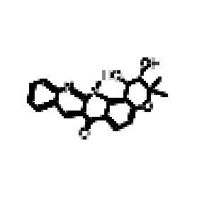 Cn1c2nc3ccccc3cc2c(=O)c2ccc3c(c21)[C@@H](O)[C@@H](O)C(C)(C)O3